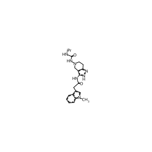 CC(C)NC(=O)NN1CCc2n[nH]c(NC(=O)Cc3cn(C)c4ccccc34)c2C1